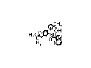 CC1(CO)CCN(c2cc3c(cc2NC(=O)c2cnn4cccnc24)CC(C)(C)O3)C1